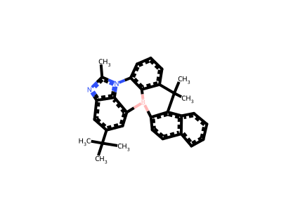 Cc1nc2cc(C(C)(C)C)cc3c2n1-c1cccc2c1B3c1ccc3ccccc3c1C2(C)C